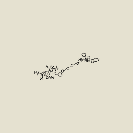 COC[C@H]1CN[C@H](C)CN1CC(=O)N1CC(C)(C)c2ncc(Cc3cccc(OCCOCCOCCOCCNC[C@@H](C(=O)Nc4ccc5cnccc5c4)c4ccccc4)c3)cc21